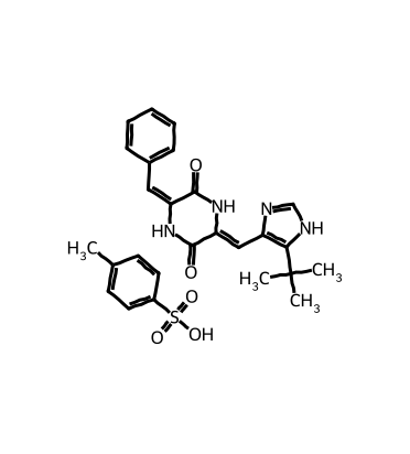 CC(C)(C)c1[nH]cnc1C=c1[nH]c(=O)c(=Cc2ccccc2)[nH]c1=O.Cc1ccc(S(=O)(=O)O)cc1